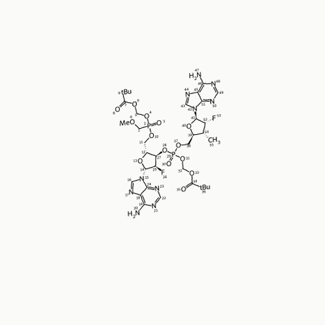 COCP(=O)(OCOC(=O)C(C)(C)C)OC[C@H]1O[C@@H](n2cnc3c(N)ncnc32)[C@H](F)[C@@H]1OP(=O)(OCOC(=O)C(C)(C)C)OC[C@H]1O[C@@H](n2cnc3c(N)ncnc32)[C@H](F)[C@@H]1C